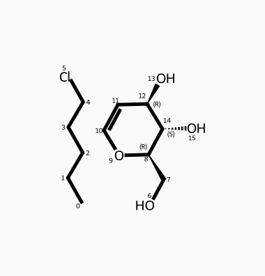 CCCCCCl.OC[C@H]1OC=C[C@@H](O)[C@@H]1O